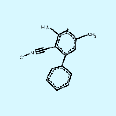 Cc1cc(-c2ccccc2)c(C#[N+][O-])c(N)n1